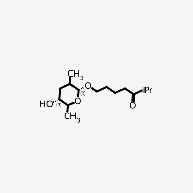 CC(C)C(=O)CCCCO[C@@H]1OC(C)[C@H](O)CC1C